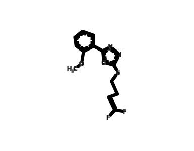 COc1ccccc1-c1nnc(SCCC=C(F)F)o1